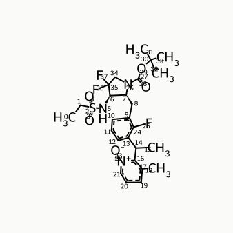 CCS(=O)(=O)N[C@@H]1[C@H](Cc2cccc(C(C)c3c(C)ccc[n+]3[O-])c2F)N(C(=O)OC(C)(C)C)CC1(F)F